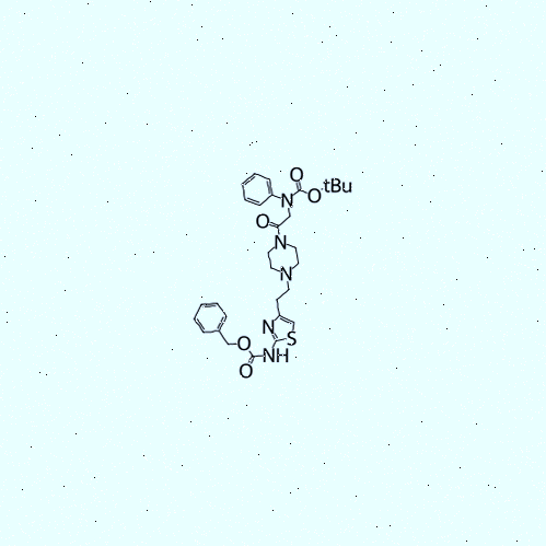 CC(C)(C)OC(=O)N(CC(=O)N1CCN(CCc2csc(NC(=O)OCc3ccccc3)n2)CC1)c1ccccc1